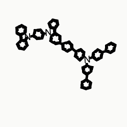 c1ccc(-c2ccc(N(c3ccc(-c4ccccc4)cc3)c3ccc(-c4ccc(-c5ccc6c(c5)c5ccccc5n6-c5ccc(-n6c7ccccc7c7ccccc76)cc5)cc4)cc3)cc2)cc1